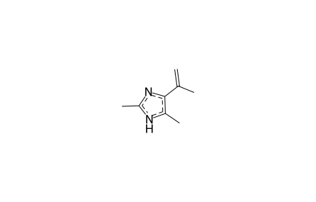 C=C(C)c1nc(C)[nH]c1C